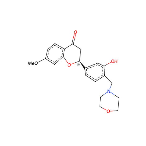 COc1ccc2c(c1)O[C@H](c1ccc(CN3CCOCC3)c(O)c1)CC2=O